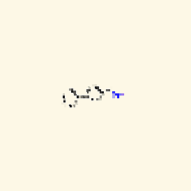 INCc1ccc(-c2ccccc2)cc1